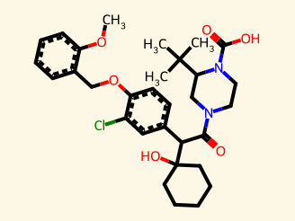 COc1ccccc1COc1ccc(C(C(=O)N2CCN(C(=O)O)C(C(C)(C)C)C2)C2(O)CCCCC2)cc1Cl